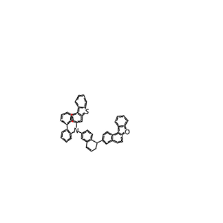 C1=Cc2cc(N(c3ccc4c(c3)sc3ccccc34)c3ccccc3-c3ccccc3)ccc2C(c2ccc3c(ccc4oc5ccccc5c43)c2)C1